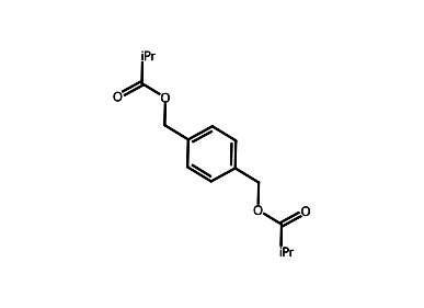 CC(C)C(=O)OCc1ccc(COC(=O)C(C)C)cc1